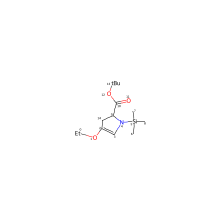 CCOC1=CN([Si](C)(C)C)C(C(=O)OC(C)(C)C)C1